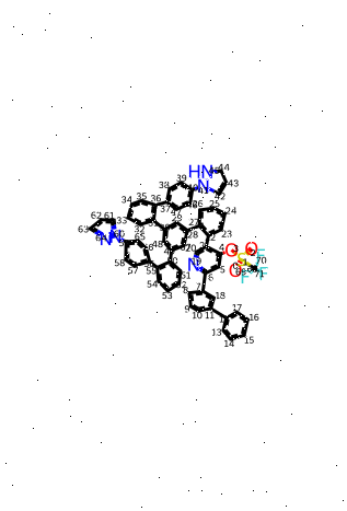 O=S(=O)(Oc1cc(-c2cccc(-c3ccccc3)c2)ncc1-c1ccccc1-c1cc(-c2ccccc2-c2ccc(N3C=CCN3)cc2)cc(-c2ccccc2-c2ccc(-n3cccn3)cc2)c1)C(F)(F)F